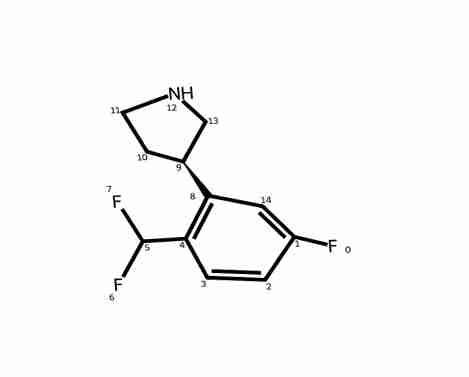 Fc1ccc(C(F)F)c([C@H]2CCNC2)c1